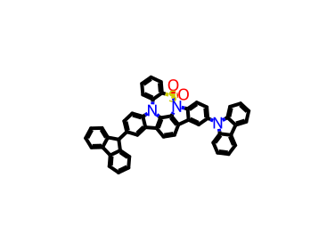 O=S1(=O)c2ccccc2-n2c3ccc(C4c5ccccc5-c5ccccc54)cc3c3ccc4c5cc(-n6c7ccccc7c7ccccc76)ccc5n1c4c32